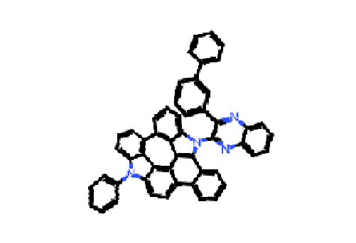 c1ccc(-c2cccc(-c3nc4ccccc4nc3-n3c4cccc5c4c4c6c(ccc7c6c6c-5cccc6n7-c5ccccc5)c5ccccc5c43)c2)cc1